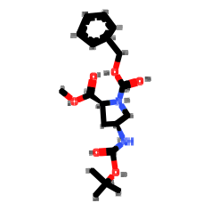 COC(=O)[C@@H]1C[C@H](NC(=O)OC(C)(C)C)CN1C(=O)OCc1ccccc1